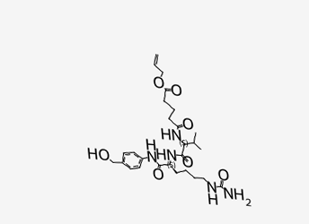 C=CCOC(=O)CCCC(=O)N[C@H](C(=O)N[C@@H](CCCCNC(N)=O)C(=O)Nc1ccc(CO)cc1)C(C)C